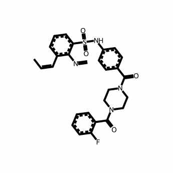 C=Nc1c(/C=C\C)cccc1S(=O)(=O)Nc1ccc(C(=O)N2CCN(C(=O)c3ccccc3F)CC2)cc1